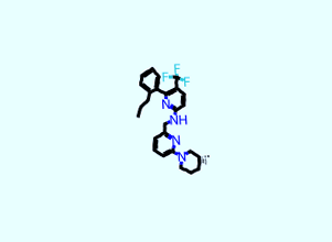 CCCc1ccccc1-c1nc(NCc2cccc(N3CCC[C@@H](C)C3)n2)ccc1C(F)(F)F